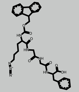 [N-]=[N+]=NCCCCC(NC(=O)OCC1c2ccccc2-c2ccccc21)C(=O)NCC(=O)NCC(=O)NC(Cc1ccccc1)C(=O)O